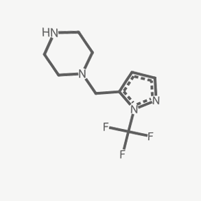 FC(F)(F)n1nccc1CN1CCNCC1